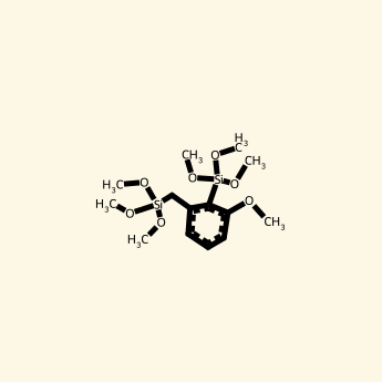 COc1cccc(C[Si](OC)(OC)OC)c1[Si](OC)(OC)OC